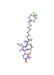 Cn1c(=O)n(C2CCC(=O)NC2=O)c2cccc(NC(=O)CCCCCCCN3CCC(F)(F)CC3)c21